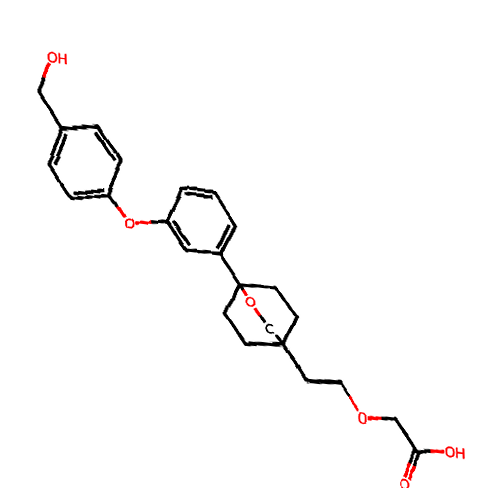 O=C(O)COCCC12CCC(c3cccc(Oc4ccc(CO)cc4)c3)(CC1)OC2